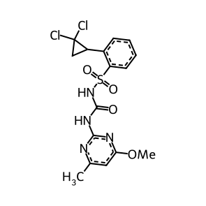 COc1cc(C)nc(NC(=O)NS(=O)(=O)c2ccccc2C2CC2(Cl)Cl)n1